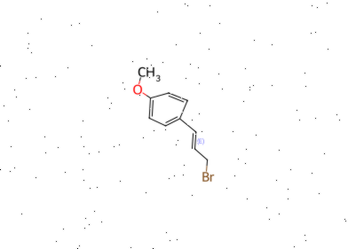 COc1ccc(/C=C/CBr)cc1